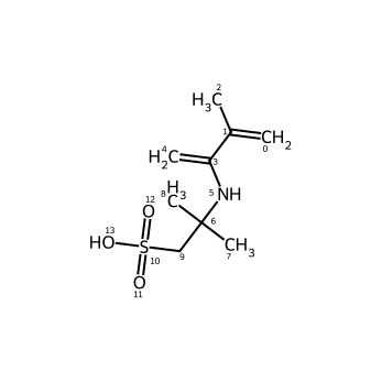 C=C(C)C(=C)NC(C)(C)CS(=O)(=O)O